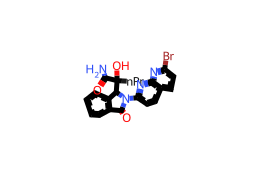 CCCC(O)(C(N)=O)C1c2ccccc2C(=O)N1c1ccc2ccc(Br)nc2n1